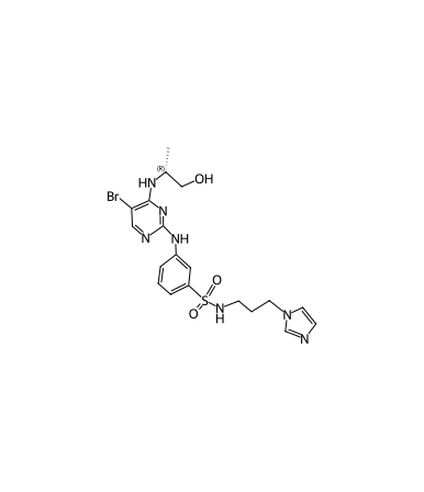 C[C@H](CO)Nc1nc(Nc2cccc(S(=O)(=O)NCCCn3ccnc3)c2)ncc1Br